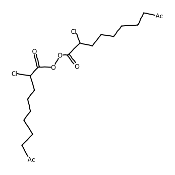 CC(=O)CCCCCCC(Cl)C(=O)OOC(=O)C(Cl)CCCCCCC(C)=O